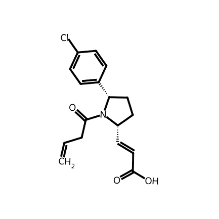 C=CCC(=O)N1[C@@H](C=CC(=O)O)CC[C@H]1c1ccc(Cl)cc1